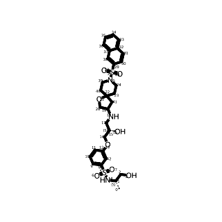 C[C@@H](CO)NS(=O)(=O)c1cccc(OC[C@@H](O)CNC2COC3(CCN(S(=O)(=O)c4ccc5ccccc5c4)CC3)C2)c1